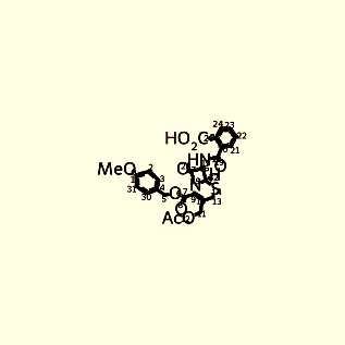 COc1ccc(COC(=O)C2=C(COC(C)=O)CS[C@H]3C(NC(=O)c4ccccc4C(=O)O)C(=O)N23)cc1